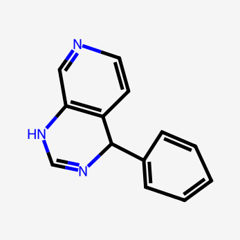 C1=NC(c2ccccc2)c2ccncc2N1